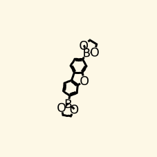 c1cc2c(cc1B1OCCO1)oc1cc(B3OCCO3)ccc12